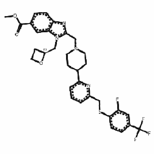 COC(=O)c1ccc2nc(CN3CCC(c4cccc(CSc5ccc(C(F)(F)F)cc5F)n4)CC3)n(C[C@@H]3CCO3)c2c1